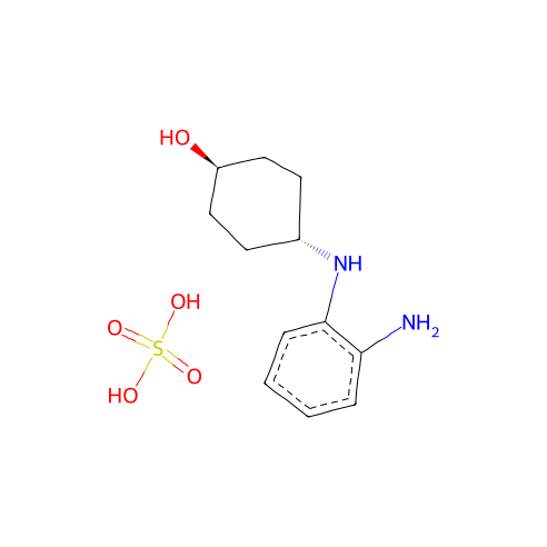 Nc1ccccc1N[C@H]1CC[C@H](O)CC1.O=S(=O)(O)O